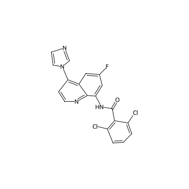 O=C(Nc1cc(F)cc2c(-n3ccnc3)ccnc12)c1c(Cl)cccc1Cl